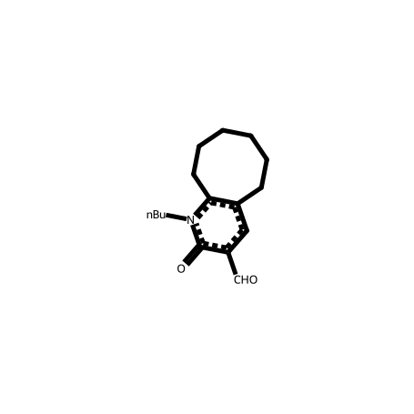 CCCCn1c2c(cc(C=O)c1=O)CCCCCC2